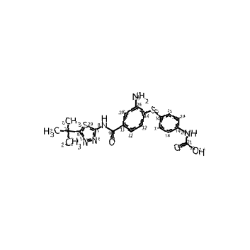 CC(C)(C)c1nnc(NC(=O)c2ccc(Sc3ccc(NC(=O)O)cc3)c(N)c2)s1